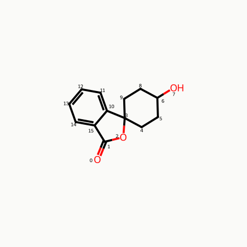 O=C1OC2(CCC(O)CC2)c2ccccc21